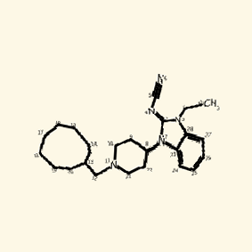 CCn1c(=NC#N)n(C2CCN(CC3CCCCCCC3)CC2)c2ccccc21